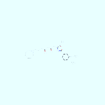 COc1ccc(-c2nc(CC(=O)CC(=O)CCCN3CCCCCC3)c(C)o2)cc1OC